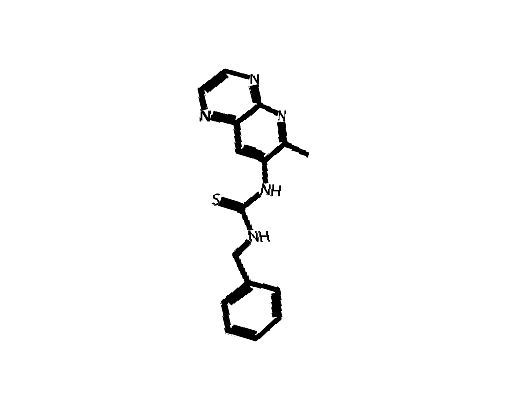 Cc1nc2nccnc2cc1NC(=S)NCc1ccccc1